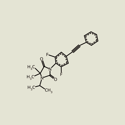 CC(C)N1C(=O)N(c2c(F)cc(C#Cc3ccccc3)cc2F)C(=O)C1(C)C